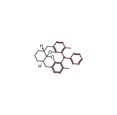 Cc1ccc2c(c1P(c1ccccc1)c1ccccc1)OC13Oc4c(ccc(C)c4P(c4ccccc4)c4ccccc4)C[C@H]1CCC[C@@H]3C2